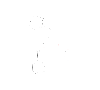 NC(=O)OCC(Cc1ccccc1)[AsH]OC(=O)c1ccccc1